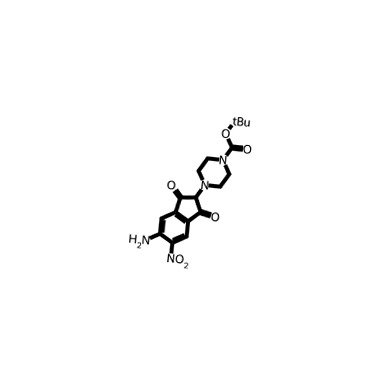 CC(C)(C)OC(=O)N1CCN(C2C(=O)c3cc(N)c([N+](=O)[O-])cc3C2=O)CC1